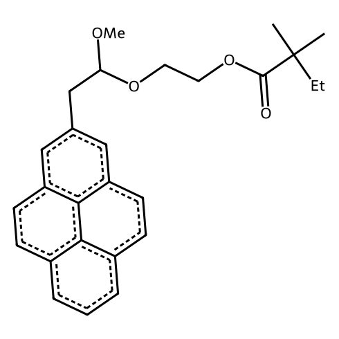 CCC(C)(C)C(=O)OCCOC(Cc1cc2ccc3cccc4ccc(c1)c2c34)OC